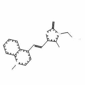 C[n+]1ccc(C=Cc2sc(=S)n(CC(=O)O)c2[O-])c2ccccc21